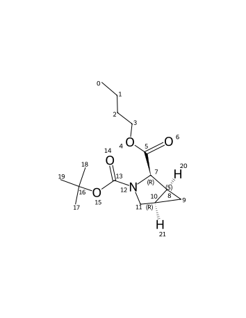 CCCCOC(=O)[C@H]1[C@H]2C[C@H]2CN1C(=O)OC(C)(C)C